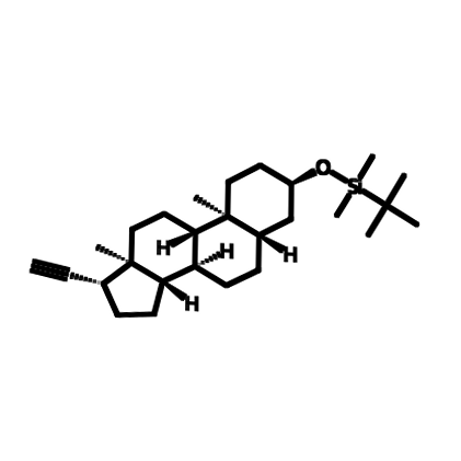 C#C[C@H]1CC[C@H]2[C@@H]3CC[C@H]4C[C@H](O[Si](C)(C)C(C)(C)C)CC[C@]4(C)[C@H]3CC[C@]12C